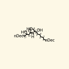 CCCCCCCCCCCCCCCC(O)C(CO)NC(=O)CC(O)CCCCCCCCCCC